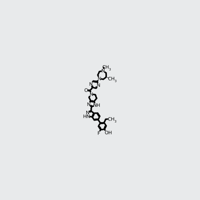 CCc1cc(O)c(F)cc1-c1ccc2c(-c3nc4c([nH]3)CCN(C(=O)c3cnc(N5CCN(C)C[C@H](C)C5)cn3)C4)n[nH]c2c1